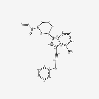 C=CC(=O)N1CCCC(n2nc(C#CCc3ccccc3)c3c(N)ncnc32)C1